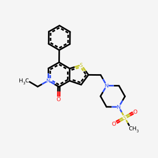 CCn1cc(-c2ccccc2)c2sc(CN3CCN(S(C)(=O)=O)CC3)cc2c1=O